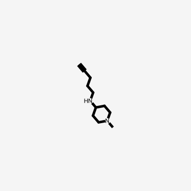 C#CCCCNC1CCN(C)CC1